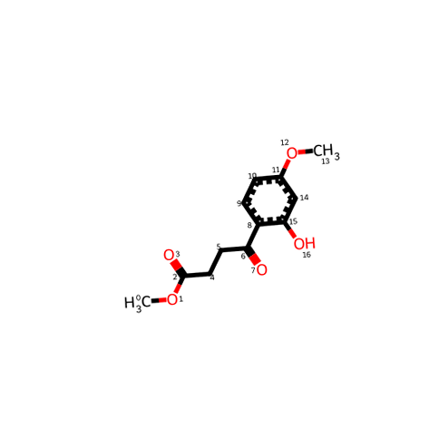 COC(=O)CCC(=O)c1ccc(OC)cc1O